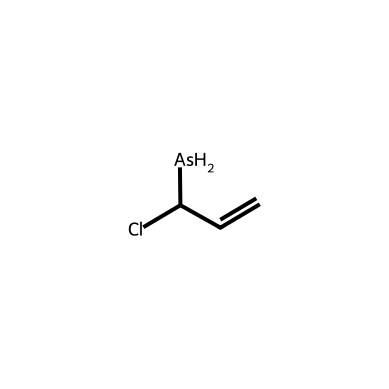 C=CC(Cl)[AsH2]